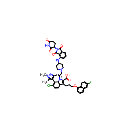 Cc1nn(C)c(C)c1C1=C(Cl)C=CC2C(CCCOc3cccc4cc(F)ccc34)=C(C(=O)O)N(CCN3CCC(Nc4cccc5c4C(=O)N(C4CCC(=O)NC4=O)C5=O)CC3)C12